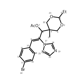 CCC1OCC(C)(C(OC(C)=O)C(=Cc2ccc(Br)cc2)n2cncn2)CO1